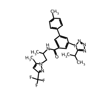 Cc1ccc(-c2cc(C(=O)NC(C)Cn3nc(C(F)(F)F)cc3C)cc(-n3nnnc3C(C)C)c2)cc1